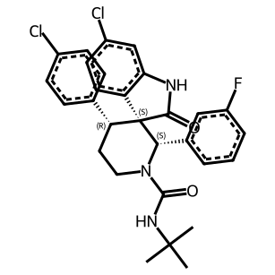 CC(C)(C)NC(=O)N1CC[C@H](c2ccc(Cl)cc2)[C@@]2(C(=O)Nc3cc(Cl)ccc32)[C@@H]1c1cccc(F)c1